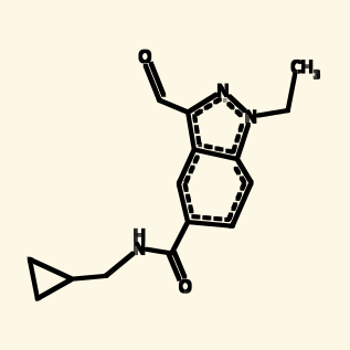 CCn1nc(C=O)c2cc(C(=O)NCC3CC3)ccc21